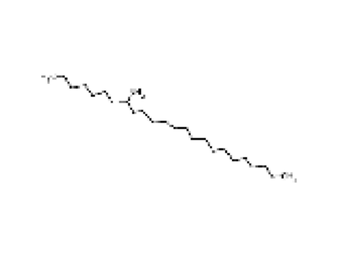 CCCCCCCCCCCCCCCCC(N)CCCCCCC